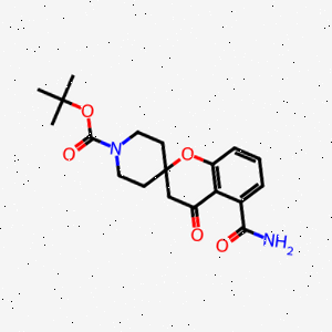 CC(C)(C)OC(=O)N1CCC2(CC1)CC(=O)c1c(cccc1C(N)=O)O2